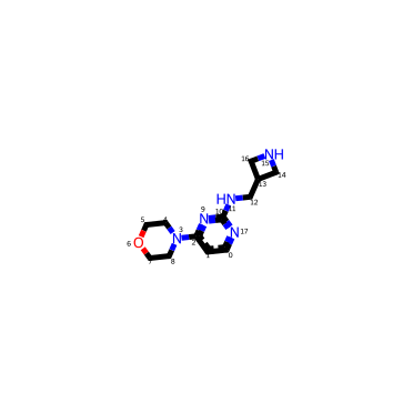 c1cc(N2CCOCC2)nc(NCC2CNC2)n1